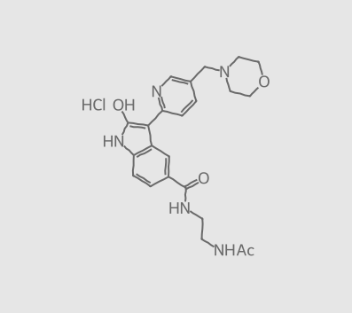 CC(=O)NCCNC(=O)c1ccc2[nH]c(O)c(-c3ccc(CN4CCOCC4)cn3)c2c1.Cl